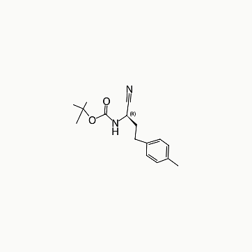 Cc1ccc(CC[C@H](C#N)NC(=O)OC(C)(C)C)cc1